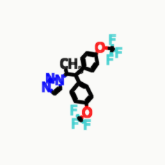 CC(C(c1ccc(OC(F)(F)F)cc1)c1ccc(OC(F)(F)F)cc1)n1ccnn1